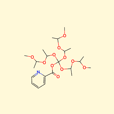 COC(C)OC(C)OC(OC(=O)c1ccccn1)(OC(C)OC(C)OC)OC(C)OC(C)OC